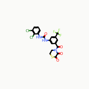 O=C(Nc1cc(C(=O)N2CCSC(=O)C2=O)cc(C(F)(F)F)c1)Nc1cccc(Cl)c1Cl